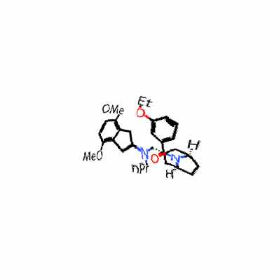 CCCN(C[C@@H]1C[C@H]2CC[C@@H](C1)N2C(=O)c1cccc(OCC)c1)C1Cc2c(OC)ccc(OC)c2C1